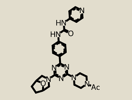 CC(=O)N1CCN(c2nc(-c3ccc(NC(=O)Nc4ccncc4)cc3)nc(N3CC4CCC(C3)O4)n2)CC1